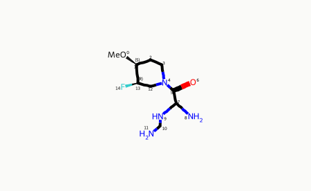 CO[C@H]1CCN(C(=O)C(N)NCN)C[C@H]1F